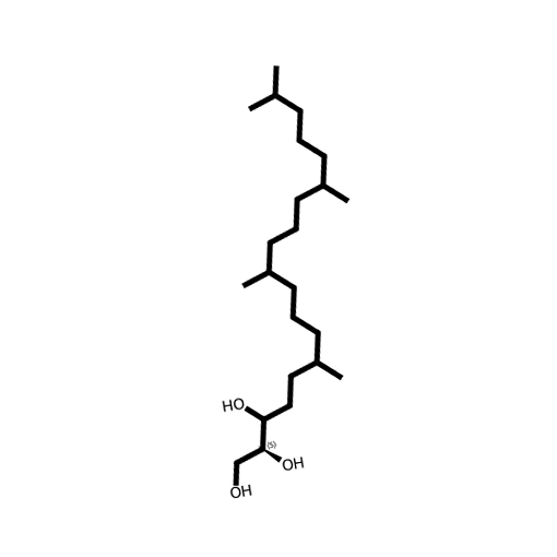 CC(C)CCCC(C)CCCC(C)CCCC(C)CCC(O)[C@@H](O)CO